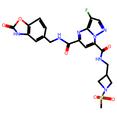 CS(=O)(=O)N1CC(CNC(=O)c2cc(C(=O)NCc3ccc4oc(=O)[nH]c4c3)nc3c(F)cnn23)C1